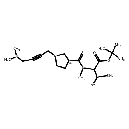 CC(C)C(C(=O)OC(C)(C)C)N(C)C(=O)[C@H]1CCN(CC#CCN(C)C)C1